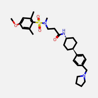 COc1cc(C)c(S(=O)(=O)N(C)CCC(=O)N[C@H]2CC[C@H](c3ccc(CN4CCCC4)cc3)CC2)c(C)c1